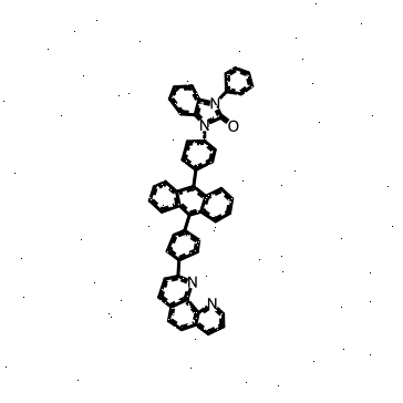 O=c1n(-c2ccccc2)c2ccccc2n1-c1ccc(-c2c3ccccc3c(-c3ccc(-c4ccc5ccc6cccnc6c5n4)cc3)c3ccccc23)cc1